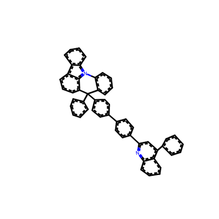 c1ccc(-c2cc(-c3ccc(-c4ccc(C5(c6ccccc6)c6ccccc6-n6c7ccccc7c7cccc5c76)cc4)cc3)nc3ccccc23)cc1